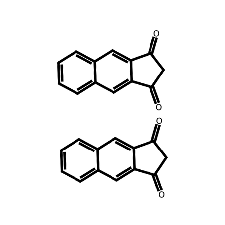 O=C1CC(=O)c2cc3ccccc3cc21.O=C1CC(=O)c2cc3ccccc3cc21